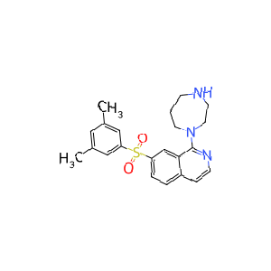 Cc1cc(C)cc(S(=O)(=O)c2ccc3ccnc(N4CCCNCC4)c3c2)c1